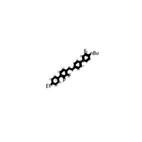 CCCCc1ccc(-c2ccc(CCc3ccc(C4CCC(CC)CC4)c(F)c3F)cc2)cc1F